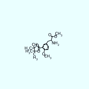 COC(=O)C(N)Cc1ccc(OC)c(B2OC(C)(C)C(C)(C)O2)c1